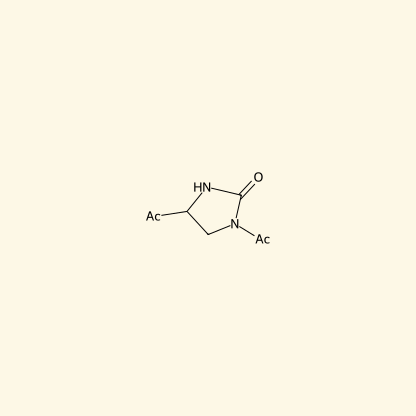 CC(=O)C1CN(C(C)=O)C(=O)N1